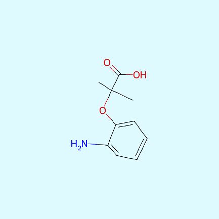 CC(C)(Oc1ccccc1N)C(=O)O